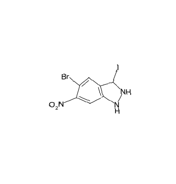 O=[N+]([O-])c1cc2c(cc1Br)C(I)NN2